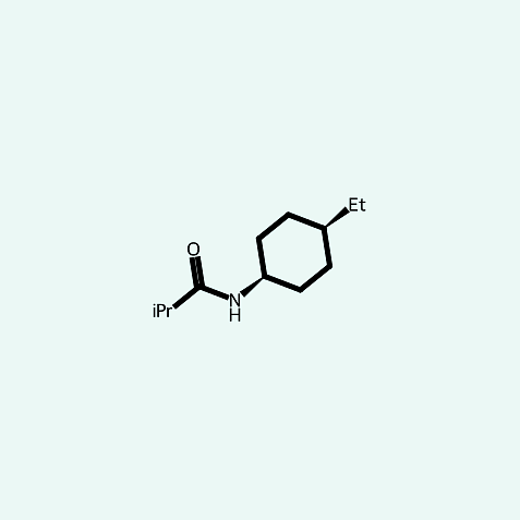 CC[C@H]1CC[C@@H](NC(=O)C(C)C)CC1